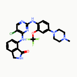 CN1CCN(c2ccc(Nc3ncc(Cl)c(Nc4cccc5c4C(=O)NC5)n3)c(OC(F)(F)F)c2)CC1